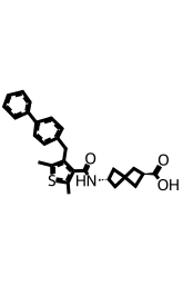 Cc1sc(C)c(C(=O)N[C@H]2CC3(C2)C[C@H](C(=O)O)C3)c1Cc1ccc(-c2ccccc2)cc1